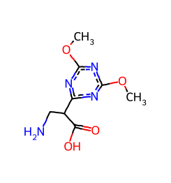 COc1nc(OC)nc(C(CN)C(=O)O)n1